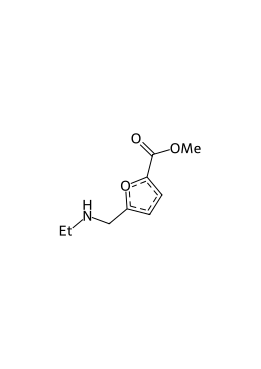 CCNCc1ccc(C(=O)OC)o1